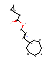 O=C(CC1CC1)OC/C=C/C1CCCCCCC1